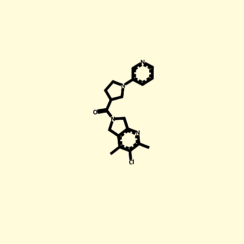 Cc1nc2c(c(C)c1Cl)CN(C(=O)C1CCN(c3cccnc3)C1)C2